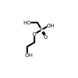 O=P(O)(CO)OCCO